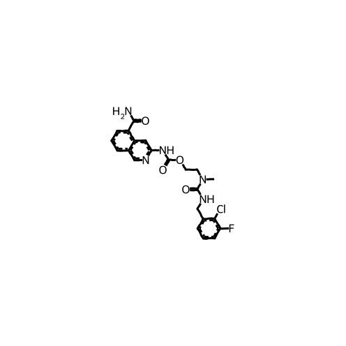 CN(CCOC(=O)Nc1cc2c(C(N)=O)cccc2cn1)C(=O)NCc1cccc(F)c1Cl